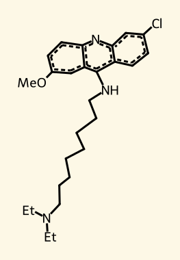 CCN(CC)CCCCCCCCNc1c2ccc(Cl)cc2nc2ccc(OC)cc12